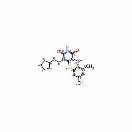 Cc1cc(C)cc(Sc2c(C(C)C)c(=O)[nH]c(=O)n2CCC2CCCC2)c1